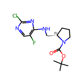 CC(C)(C)OC(=O)N1CCC[C@H]1CNc1nc(Cl)ncc1F